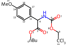 CCCCOC(=O)C(NC(=O)OCC(Cl)(Cl)Cl)c1ccc(OC)cc1